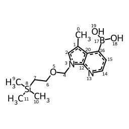 Cc1cn(COCC[Si](C)(C)C)c2nccc(B(O)O)c12